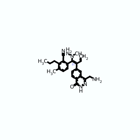 C=C/C(=C(/c1ccc(C)c(CCC)c1C#N)N(C)N)c1ccc2c(=O)[nH]nc(CN)c2c1